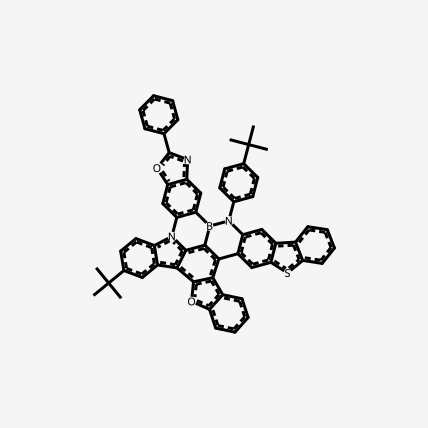 CC(C)(C)c1ccc(N2B3c4cc5nc(-c6ccccc6)oc5cc4-n4c5ccc(C(C)(C)C)cc5c5c6oc7ccccc7c6c(c3c54)-c3cc4sc5ccccc5c4cc32)cc1